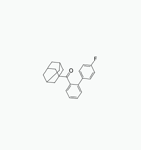 O=C(c1ccccc1-c1ccc(F)cc1)C12CC3CC(CC(C3)C1)C2